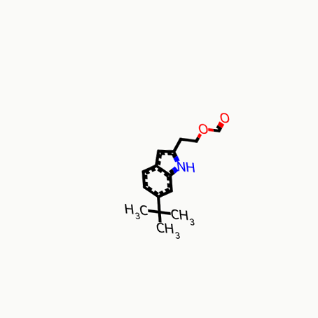 CC(C)(C)c1ccc2cc(CCOC=O)[nH]c2c1